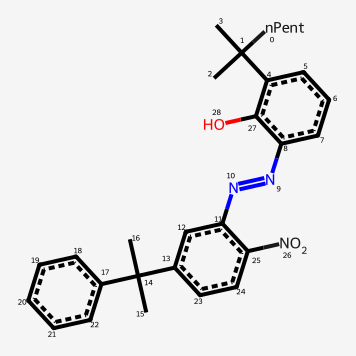 CCCCCC(C)(C)c1cccc(N=Nc2cc(C(C)(C)c3ccccc3)ccc2[N+](=O)[O-])c1O